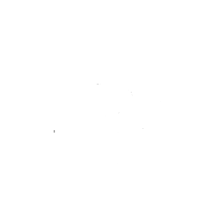 C=CCC(=NC1(C)C=CC(c2ccc(C(C)C)cc2)(c2ccc(C(C)C)cc2)C=C1C(=O)c1ccccc1)C(=O)O